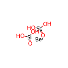 O=[Si](O)O.O=[Si](O)O.[Be]